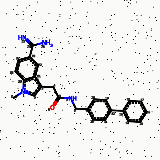 Cn1cc(CC(=O)NCc2ccc(-c3ccccc3)cc2)c2cc(C(=N)N)ccc21